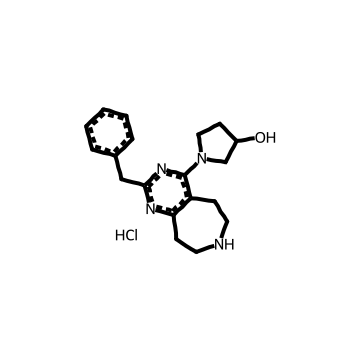 Cl.OC1CCN(c2nc(Cc3ccccc3)nc3c2CCNCC3)C1